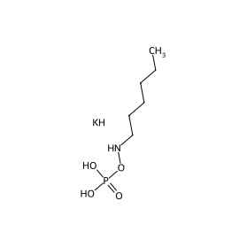 CCCCCCNOP(=O)(O)O.[KH]